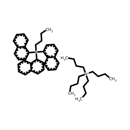 CCCC[B-](c1cccc2ccccc12)(c1cccc2ccccc12)c1cccc2ccccc12.CCCC[N+](CCCC)(CCCC)CCCC